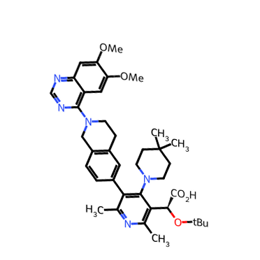 COc1cc2ncnc(N3CCc4cc(-c5c(C)nc(C)c([C@H](OC(C)(C)C)C(=O)O)c5N5CCC(C)(C)CC5)ccc4C3)c2cc1OC